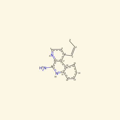 C/C=C\c1ccnc2c(N)nc3ccccc3c12